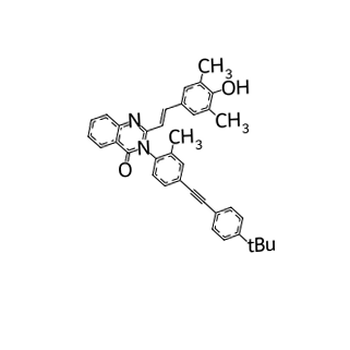 Cc1cc(C#Cc2ccc(C(C)(C)C)cc2)ccc1-n1c(C=Cc2cc(C)c(O)c(C)c2)nc2ccccc2c1=O